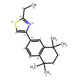 CC1(C)CCC(C)(C)c2cc(-c3csc(CC#N)n3)ccc21